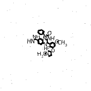 COc1cc(OC2CCN(C)C2)c(F)c(C(Nc2ccc(C(=N)N)cc2)c2nn(-c3ccccc3)c(=O)[nH]2)c1